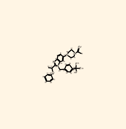 CC(=O)N1CCN(c2ccc3nc(C(C)Oc4ccccc4)n(Cc4ccc(C(F)(F)F)cc4)c3c2)CC1